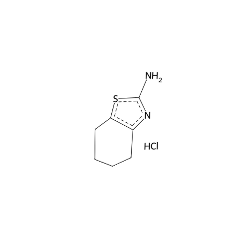 Cl.Nc1nc2c(s1)CCCC2